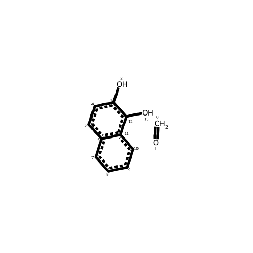 C=O.Oc1ccc2ccccc2c1O